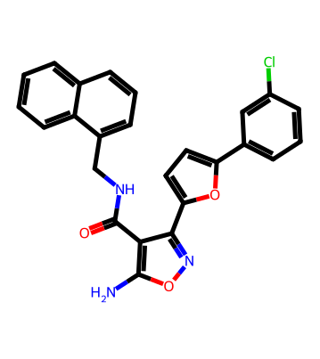 Nc1onc(-c2ccc(-c3cccc(Cl)c3)o2)c1C(=O)NCc1cccc2ccccc12